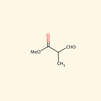 COC(=O)C(C)[C]=O